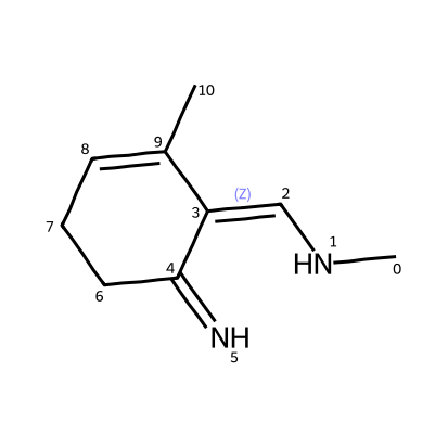 CN/C=C1\C(=N)CCC=C1C